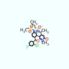 CCCC[S@+]([O-])N[C@@H](C)c1cc(=O)n(C)cc1-c1cc(CS(=O)(=O)CC)ccc1C(=O)c1ccc(F)cc1Cl